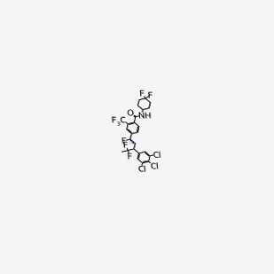 CC(F)(F)C(/C=C(\F)c1ccc(C(=O)NC2CCC(F)(F)CC2)c(C(F)(F)F)c1)c1cc(Cl)c(Cl)c(Cl)c1